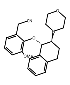 COc1cccc(CC#N)c1O[C@H]1c2ccccc2CC[C@@H]1N1CCOCC1